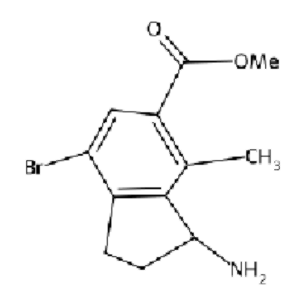 COC(=O)c1cc(Br)c2c(c1C)C(N)CC2